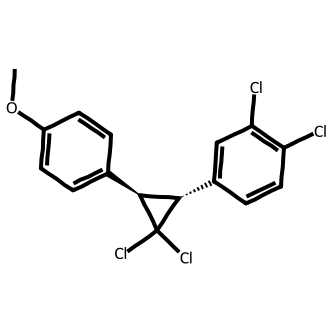 COc1ccc([C@H]2[C@H](c3ccc(Cl)c(Cl)c3)C2(Cl)Cl)cc1